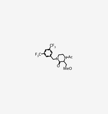 COCC1C(=O)N(Cc2cc(C(F)(F)F)cc(C(F)(F)F)c2)CCN1C(C)=O